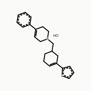 C1=C(c2ccccc2)CCN(CC2CCC=C(c3cccs3)C2)C1.Cl